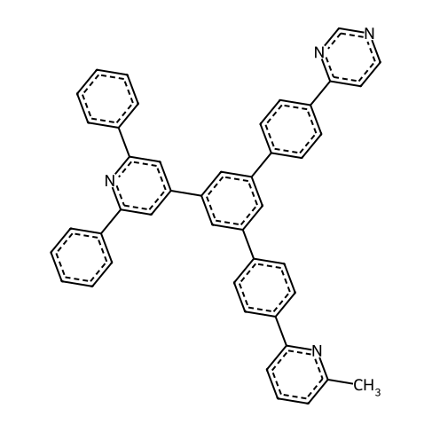 Cc1cccc(-c2ccc(-c3cc(-c4ccc(-c5ccncn5)cc4)cc(-c4cc(-c5ccccc5)nc(-c5ccccc5)c4)c3)cc2)n1